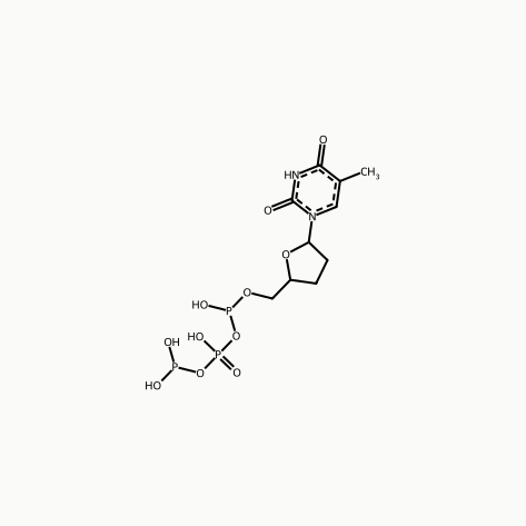 Cc1cn(C2CCC(COP(O)OP(=O)(O)OP(O)O)O2)c(=O)[nH]c1=O